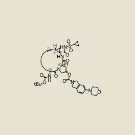 CC(C)(C)OC(=O)N[C@H]1CCCCC/C=C\[C@@H]2C[C@@]2(C(=O)NS(=O)(=O)C2CC2)NC(=O)[C@@H]2C[C@@H](OC(=O)N3Cc4ccc(N5CCOCC5)cc4C3)CN2C1=O